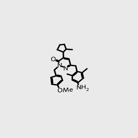 COc1ccc(Cn2nc(Cc3c(C)cc(N)cc3C)cc(C3CCCC3C)c2=O)cc1